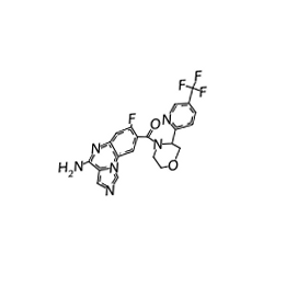 Nc1nc2cc(F)c(C(=O)N3CCOCC3c3ccc(C(F)(F)F)cn3)cc2n2cncc12